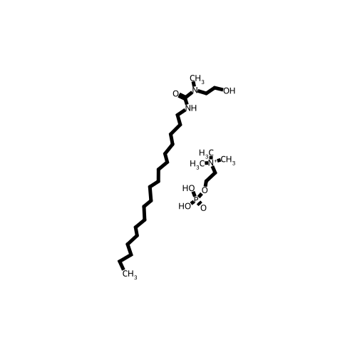 CCCCCCCCCCCCCCCCCCNC(=O)N(C)CCO.C[N+](C)(C)CCOP(=O)(O)O